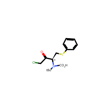 CC(C)(C)N(C(=O)O)[C@H](CSc1ccccc1)C(=O)CCl